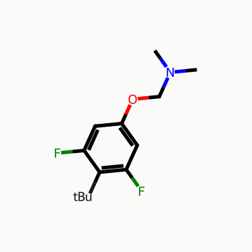 CN(C)COc1cc(F)c(C(C)(C)C)c(F)c1